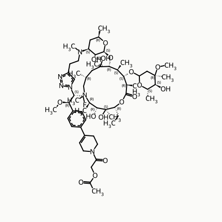 CC[C@H]1OC(=O)[C@H](C)[C@@H](OC2C[C@@](C)(OC)[C@@H](O)[C@H](C)O2)[C@H](C)[C@@H](O[C@@H]2O[C@H](C)C[C@H](N(C)CCc3cn([C@H](CF)[C@H](OC)c4ccc(C5=CCN(C(=O)COC(C)=O)CC5)cc4)nn3)[C@H]2O)[C@](C)(O)C[C@@H](C)CN(C)[C@H](C)[C@@H](O)[C@]1(C)O